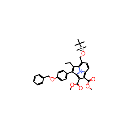 CCc1c(-c2ccc(OCc3ccccc3)cc2)c2c(C(=O)OC)c(C(=O)OC)c3ccc(CO[Si](C)(C)C(C)(C)C)c1n32